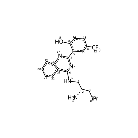 CC(C)C[C@H](N)CNc1nc(-c2cc(C(F)(F)F)ccc2O)nc2ccccc12